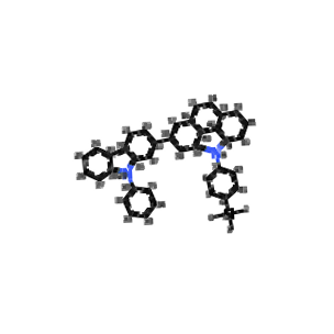 C[Si](C)(C)c1ccc(-n2c3cccc4ccc5cc(-c6ccc7c8ccccc8n(-c8ccccc8)c7c6)cc2c5c43)cc1